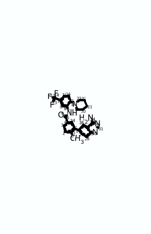 Cc1ccc(C(=O)Nc2cc(C(F)(F)F)ccc2N2CCCCC2)cc1-c1ccc2ncnc(N)c2c1